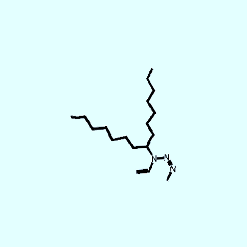 C=CN(/N=N\C)C(CCCCCCC)CCCCCCC